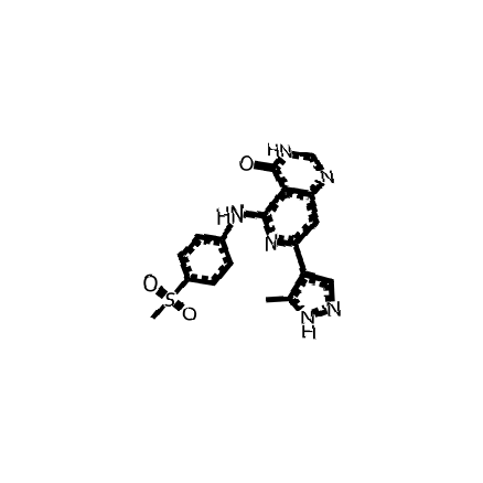 Cc1[nH]ncc1-c1cc2nc[nH]c(=O)c2c(Nc2ccc(S(C)(=O)=O)cc2)n1